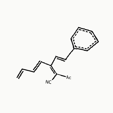 C=CC=CC(C=Cc1ccccc1)=C(C#N)C(C)=O